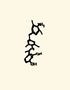 C/C(=N\c1c(C)cc(Cc2cc(C)c(N)c(C)c2)cc1C)c1ccc(O)cc1O